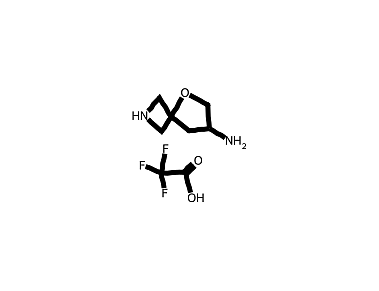 NC1COC2(CNC2)C1.O=C(O)C(F)(F)F